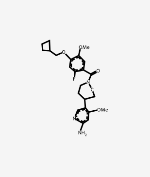 COc1cc(C(=O)N2CCC(c3cnc(N)cc3OC)CC2)c(F)cc1OCC1CCC1